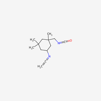 C=C=NC1CC(C)(C)CC(C)(CN=C=O)C1